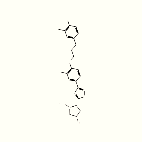 O=C(O)N1C[C@H](O)C[C@H]1c1nc(-c2ccc(OCCCc3ccc(Cl)c(Cl)c3)c(C(F)(F)F)c2)no1